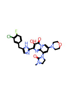 CN1CCN(c2cc(N3CCOCC3)cn3c(=O)c(O)c(-c4ncc(Cc5ccc(F)c(Cl)c5)[nH]4)nc23)C1=O